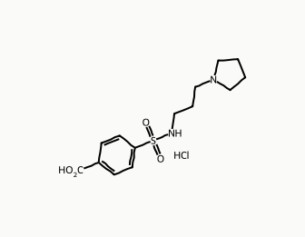 Cl.O=C(O)c1ccc(S(=O)(=O)NCCCN2CCCC2)cc1